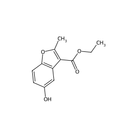 CCOC(=O)c1c(C)oc2ccc(O)cc12